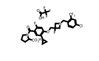 O=C(O)C(F)(F)F.O=C(O)C1CCCN1C(=O)c1cc(C2CC2)c(OCC2(F)CN(Cc3ccc(Cl)cc3C(F)(F)F)C2)cc1F